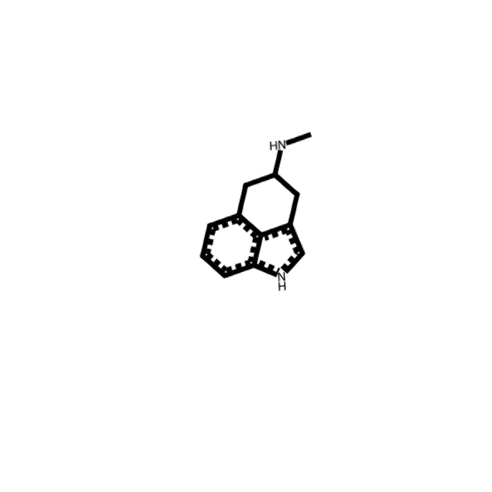 CNC1Cc2cccc3[nH]cc(c23)C1